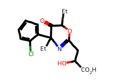 CCC1OC(CC(O)C(=O)O)=NC(CC)(c2ccccc2Cl)C1=O